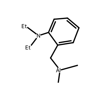 CCN(CC)c1ccccc1[CH2][Al]([CH3])[CH3]